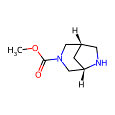 COC(=O)N1C[C@@H]2CN[C@@H](C2)C1